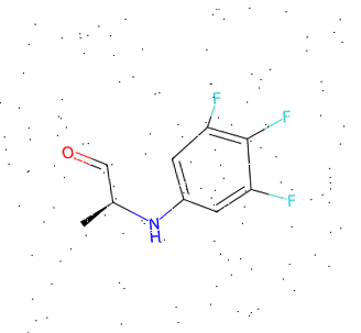 C[C@@H]([C]=O)Nc1cc(F)c(F)c(F)c1